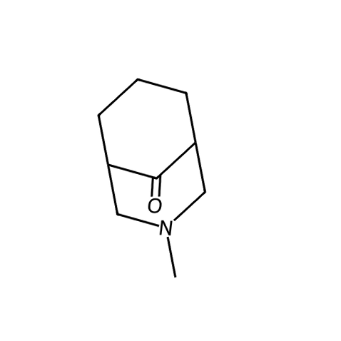 CN1CC2CCCC(C1)C2=O